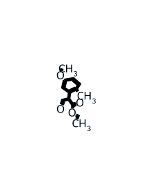 CCOC(=O)C(C=O)c1cc(OC)ccc1C